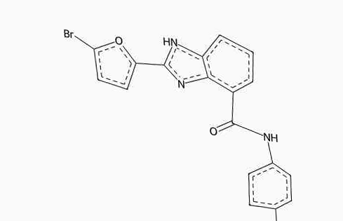 O=C(Nc1ccc(F)cc1)c1cccc2[nH]c(-c3ccc(Br)o3)nc12